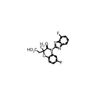 CC1(CC(=O)O)Oc2ccc(F)cc2N(c2nc3cccc(F)c3s2)C1=O